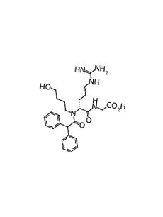 N=C(N)NCCC[C@H](C(=O)NCC(=O)O)N(CCCCO)C(=O)C(c1ccccc1)c1ccccc1